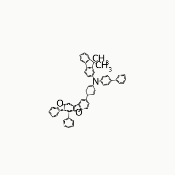 CC1(C)c2ccccc2-c2ccc(N(C3=CCC(c4ccc5oc6c(-c7ccccc7)c7c(cc6c5c4)oc4ccccc47)C=C3)c3ccc(-c4ccccc4)cc3)cc21